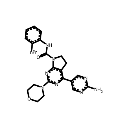 CCCc1ccccc1NC(=O)N1CCc2c(-c3cnc(N)nc3)nc(N3CCOCC3)nc21